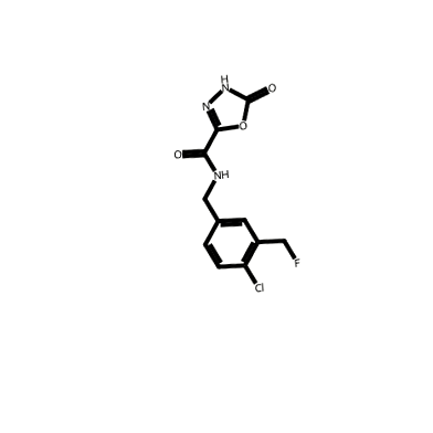 O=C(NCc1ccc(Cl)c(CF)c1)c1n[nH]c(=O)o1